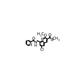 COC(=O)c1cc2cc(Cl)cc(CNC(=O)c3ccccn3)c2nc1OC